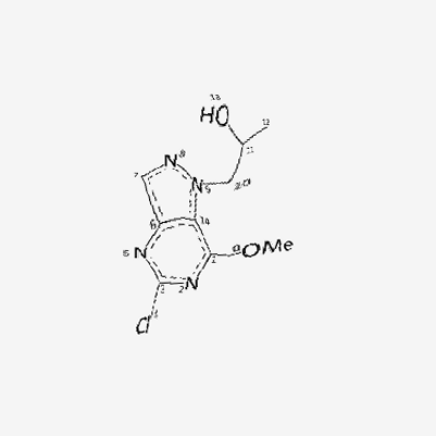 COc1nc(Cl)nc2cnn(CC(C)O)c12